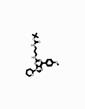 COc1ccc(-c2nc(NCCCNC(=O)OC(C)(C)C)nc3c2ncn3C2CCCCO2)cc1